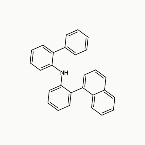 c1ccc(-c2ccccc2Nc2ccccc2-c2cccc3ccccc23)cc1